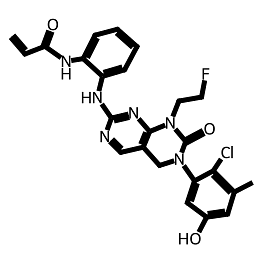 C=CC(=O)Nc1ccccc1Nc1ncc2c(n1)N(CCF)C(=O)N(c1cc(O)cc(C)c1Cl)C2